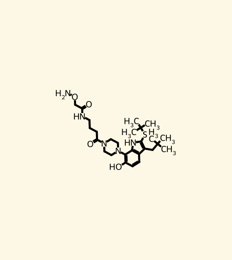 CC(C)(C)Cc1c(SC(C)(C)C)[nH]c2c(N3CCN(C(=O)CCCNC(=O)CON)CC3)c(O)ccc12